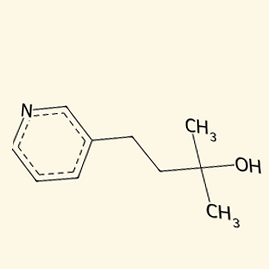 CC(C)(O)CCc1cccnc1